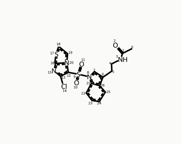 CC(=O)NCCc1cn(S(=O)(=O)c2c(Cl)nc3sccn23)c2ccccc12